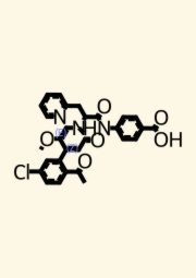 COC(=C/N(C)C(Cc1ccccn1)C(=O)Nc1ccc(C(=O)O)cc1)/C(=C\C=O)c1cc(Cl)ccc1C(C)=O